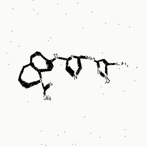 COC(=O)N1CCCc2ccc(Nc3cncc(Nc4cc(C)[nH]n4)n3)cc21